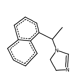 CC(c1cccc2ccccc12)N1C=NCC1